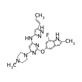 C/C=C/c1cc(Nc2cc(N3CCN(C)CC3)nc(Oc3cc(F)c4[nH]c(C)cc4c3)n2)n[nH]1